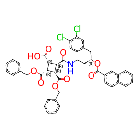 O=C(O[C@@H](CCNC(=O)[C@@H]1[C@@H](C(=O)O)[C@@H](C(=O)OCc2ccccc2)[C@@H]1C(=O)OCc1ccccc1)Cc1ccc(Cl)c(Cl)c1)c1ccc2ccccc2c1